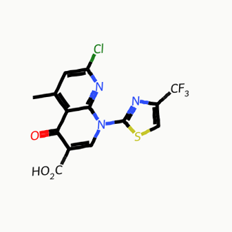 Cc1cc(Cl)nc2c1c(=O)c(C(=O)O)cn2-c1nc(C(F)(F)F)cs1